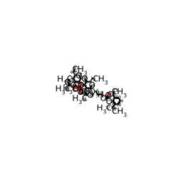 CC[C@H]1O[C@@H](OCCCOC(=O)Oc2c(C(C)C)cccc2C(C)C)[C@H](OC(C)=O)[C@@H](OC(C)=O)C1O[C@H]1O[C@H](CC)[C@@H](C)[C@H](OC(C)=O)[C@H]1OC(C)=O